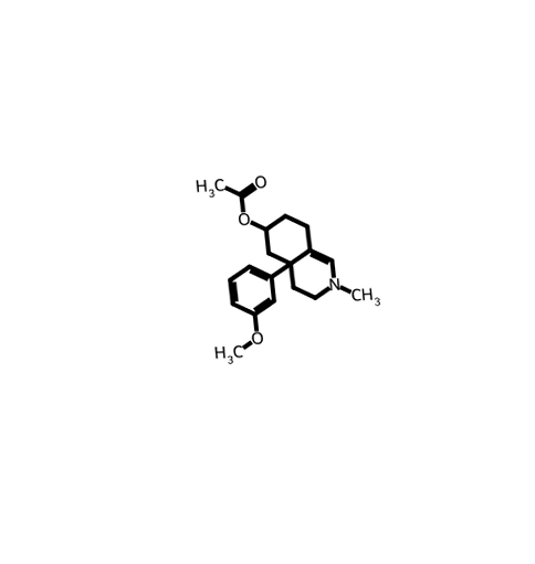 COc1cccc(C23CCN(C)C=C2CCC(OC(C)=O)C3)c1